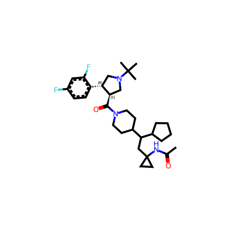 CC(=O)NC1(CC(C2CCCC2)C2CCN(C(=O)[C@@H]3CN(C(C)(C)C)C[C@H]3c3ccc(F)cc3F)CC2)CC1